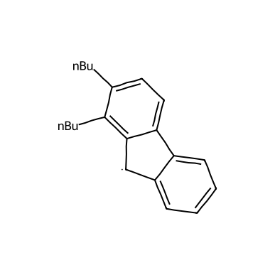 CCCCc1ccc2c(c1CCCC)[CH]c1ccccc1-2